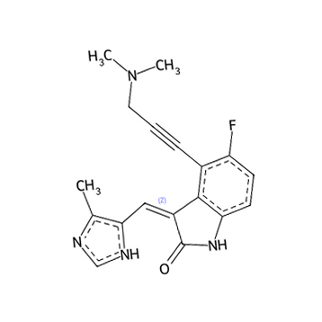 Cc1nc[nH]c1/C=C1\C(=O)Nc2ccc(F)c(C#CCN(C)C)c21